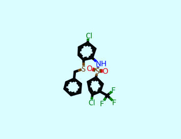 O=S(=O)(Nc1cc(Cl)ccc1SCc1ccccc1)c1ccc(Cl)c(C(F)(F)F)c1